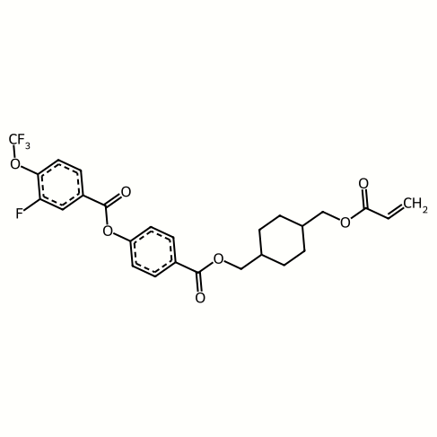 C=CC(=O)OCC1CCC(COC(=O)c2ccc(OC(=O)c3ccc(OC(F)(F)F)c(F)c3)cc2)CC1